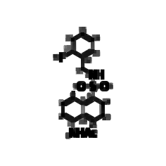 CC(=O)Nc1cccc2c(S(=O)(=O)NCc3ccccc3F)cccc12